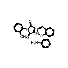 C1=Cc2ccccc2ON1.Nc1ccccc1.O=C1C=CC(=O)N1c1ccccc1O